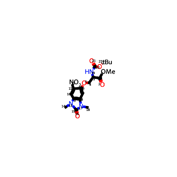 COC(=O)C(COc1cc2c(cc1[N+](=O)[O-])n(C)c(=O)n2C)NC(=O)OC(C)(C)C